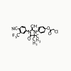 C=C1N(c2ccc(C#N)c(C(F)(F)F)c2)C(=O)C(C)(C)N1c1ccc(OC(=O)CCl)cc1